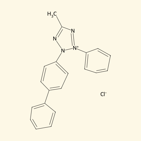 Cc1nn(-c2ccc(-c3ccccc3)cc2)[n+](-c2ccccc2)n1.[Cl-]